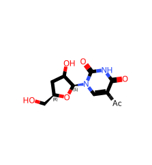 CC(=O)c1cn([C@H]2O[C@@H](CO)CC2O)c(=O)[nH]c1=O